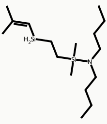 CCCCN(CCCC)[Si](C)(C)CC[SiH2]C=C(C)C